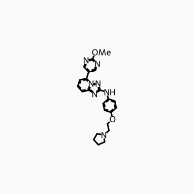 COc1ncc(-c2cccc3nc(Nc4ccc(OCCN5CCCC5)cc4)nn23)cn1